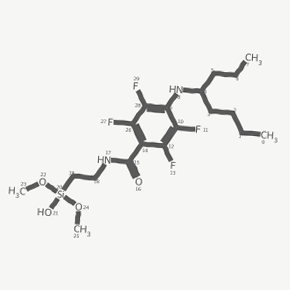 CCCCC(CCC)Nc1c(F)c(F)c(C(=O)NCC[Si](O)(OC)OC)c(F)c1F